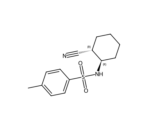 Cc1ccc(S(=O)(=O)N[C@@H]2CCCC[C@H]2C#N)cc1